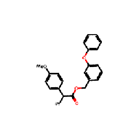 COc1ccc(C(C(=O)OCc2cccc(Oc3ccccc3)c2)C(C)C)cc1